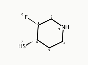 F[C@@H]1CNCC[C@@H]1S